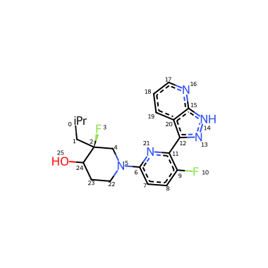 CC(C)C[C@]1(F)CN(c2ccc(F)c(-c3n[nH]c4ncccc34)n2)CCC1O